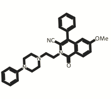 COc1ccc2c(=O)n(CCN3CCN(c4ccccc4)CC3)c(C#N)c(-c3ccccc3)c2c1